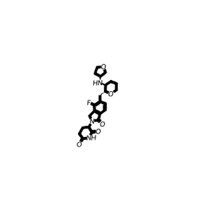 O=C1CCC(N2Cc3c(ccc(C[C@H]4OCCC[C@@H]4N[C@@H]4CCOC4)c3F)C2=O)C(=O)N1